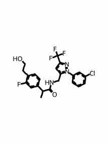 CC(C(=O)NCc1cc(C(F)(F)F)nn1-c1cccc(Cl)c1)c1ccc(CCO)c(F)c1